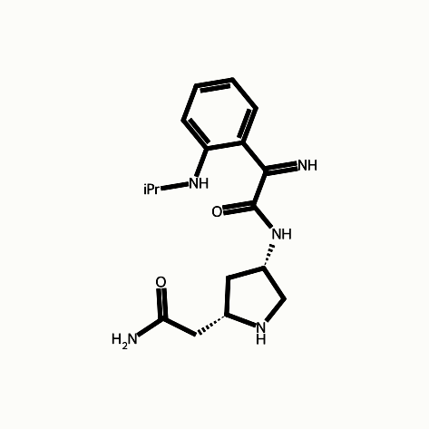 CC(C)Nc1ccccc1C(=N)C(=O)N[C@@H]1CN[C@H](CC(N)=O)C1